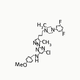 COc1ccc(CNc2cc(Cl)nc(-n3ncc(C=CCN4CCN(c5cc(F)cc(F)c5)C[C@H]4C)c3C)n2)cc1